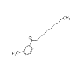 CCCCCCCCCC(=O)c1[c]ccc(C)c1